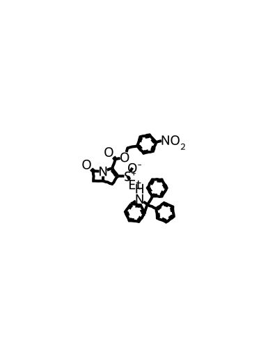 CC[S+]([O-])C1=C(C(=O)OCc2ccc([N+](=O)[O-])cc2)N2C(=O)CC2C1.c1ccc(C2(c3ccccc3)Nc3cccc2c3)cc1